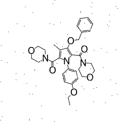 CCOc1ccc(-n2c(C(=O)N3CCOCC3)c(C)c(OCc3ccccc3)c2C(=O)N2CCOCC2)cc1